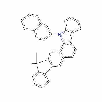 CC1(C)c2ccccc2-c2cc3ccc4c5ccccc5n(-c5ccc6ccccc6c5)c4c3cc21